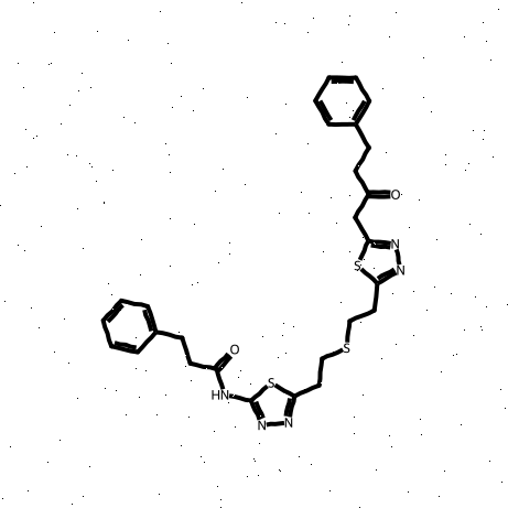 O=C(CCc1ccccc1)Cc1nnc(CCSCCc2nnc(NC(=O)CCc3ccccc3)s2)s1